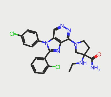 CCNC1(C(N)=O)CCN(c2nncc3c2nc(-c2ccccc2Cl)n3-c2ccc(Cl)cc2)C1